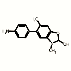 Cc1cc2c(cc1-c1ccc(N)cc1)N(C)C(O)O2